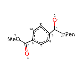 CCCCCC([O])c1ccc(C(=O)OC)cc1